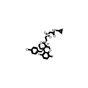 O=C(CS(=O)(=O)CC[C@@H]1OCC[C@@]2(Cc3ccc(Cl)cc3)c3c(F)ccc(F)c3OC[C@@H]12)NC1CC1